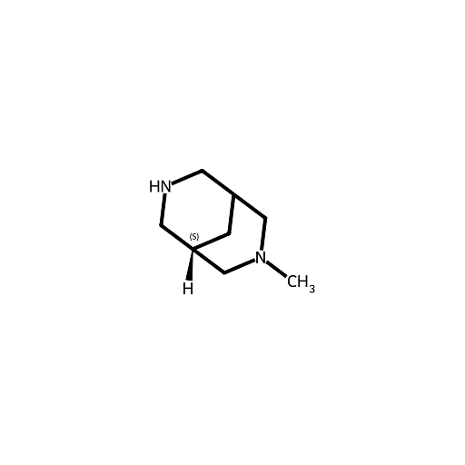 CN1CC2CNC[C@H](C2)C1